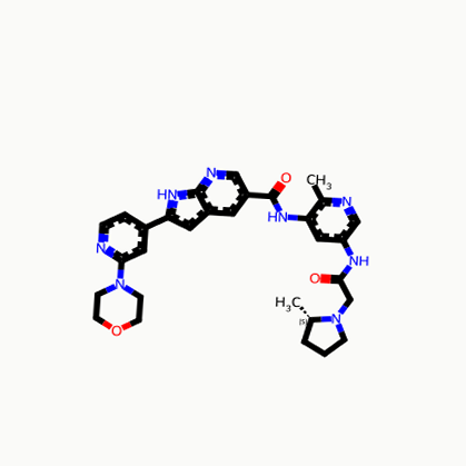 Cc1ncc(NC(=O)CN2CCC[C@@H]2C)cc1NC(=O)c1cnc2[nH]c(-c3ccnc(N4CCOCC4)c3)cc2c1